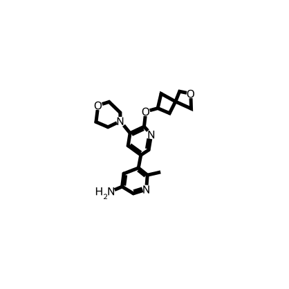 Cc1ncc(N)cc1-c1cnc(OC2CC3(COC3)C2)c(N2CCOCC2)c1